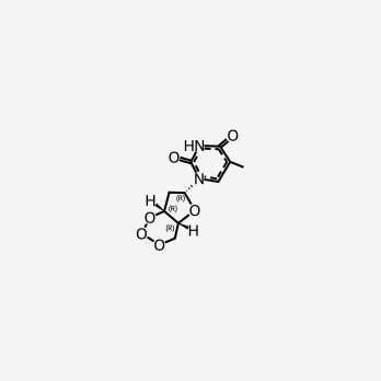 Cc1cn([C@H]2C[C@H]3OOOC[C@H]3O2)c(=O)[nH]c1=O